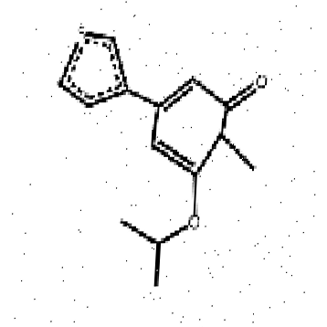 CC(C)OC1=CC(c2ccsc2)=CC(=O)C1C